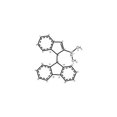 C[SiH](C)C1=Cc2ccccc2C1C1c2ccccc2-c2ccccc21